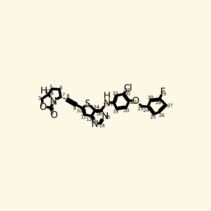 O=C1OC[C@H]2CC[C@H](C#Cc3cc4ncnc(Nc5ccc(OCc6cccc(F)c6)c(Cl)c5)c4s3)N12